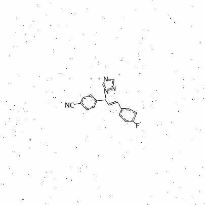 N#Cc1ccc(C(C=Cc2ccc(F)cc2)n2cncn2)cc1